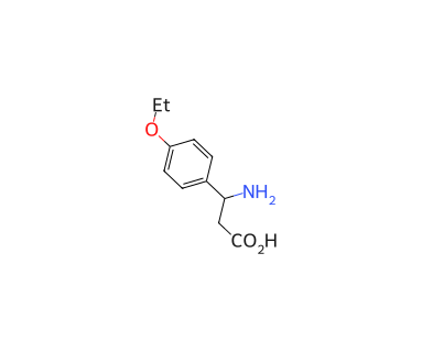 CCOc1ccc(C(N)CC(=O)O)cc1